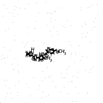 COCc1ccn2c(C(=O)Nc3cc(-c4noc([C@@H]5CC6(CC6)CN5)n4)ccc3C)cnc2c1